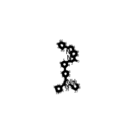 Cc1cc(-c2cccc(-c3ccc(C4C=C(c5ccccc5)N(C)C(c5ccccn5)N4)cc3)c2)nc2c1ccc1ccc(-c3ccccc3)nc12